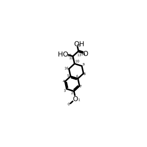 COc1ccc2c(c1)CCC(C(O)C(=O)O)C2